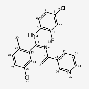 C=C(/N=C(/Nc1ccc(Cl)cc1F)c1cc(Cl)ccc1C)c1cccnc1